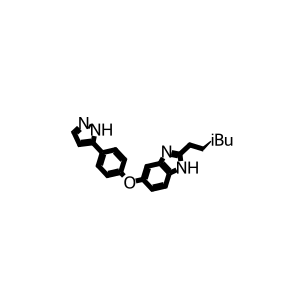 CC[C@H](C)CCc1nc2cc(Oc3ccc(-c4ccn[nH]4)cc3)ccc2[nH]1